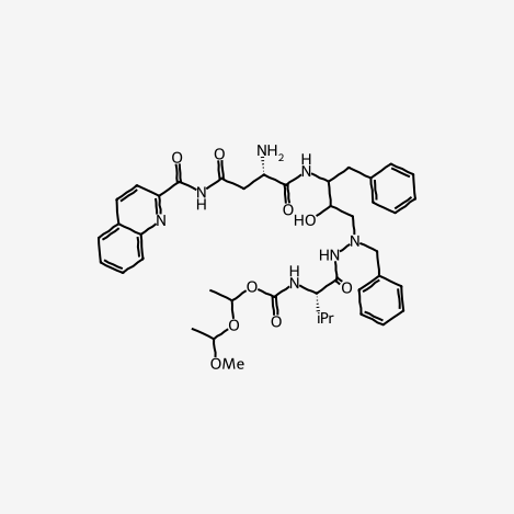 COC(C)OC(C)OC(=O)N[C@H](C(=O)NN(Cc1ccccc1)CC(O)C(Cc1ccccc1)NC(=O)[C@@H](N)CC(=O)NC(=O)c1ccc2ccccc2n1)C(C)C